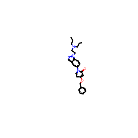 CCCN(CCC)CCn1ncc2cc(-n3ccc(OCc4ccccc4)cc3=O)ccc21